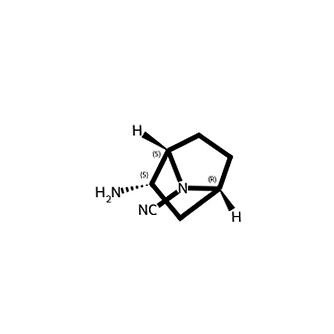 N#CN1[C@@H]2CC[C@H]1[C@@H](N)C2